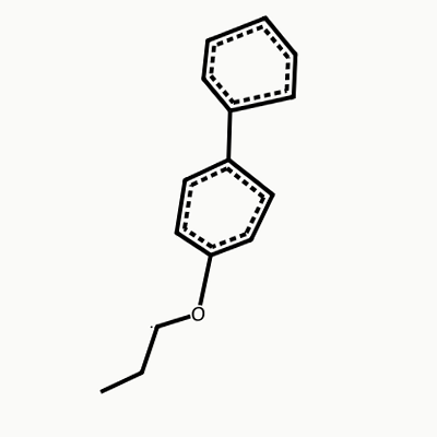 CC[CH]Oc1ccc(-c2ccccc2)cc1